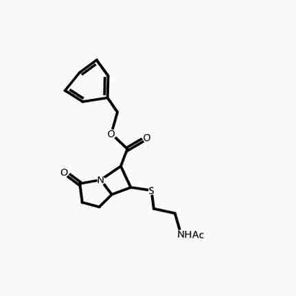 CC(=O)NCCSC1C2CCC(=O)N2C1C(=O)OCc1ccccc1